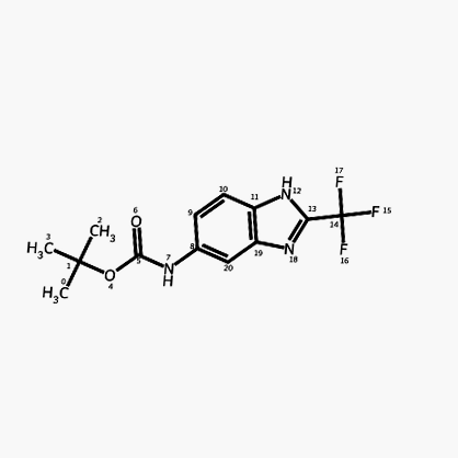 CC(C)(C)OC(=O)Nc1ccc2[nH]c(C(F)(F)F)nc2c1